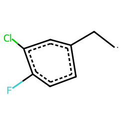 [CH2]Cc1ccc(F)c(Cl)c1